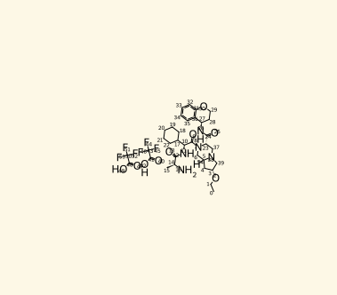 CCO[C@@H]1C[C@@H]2CN(C(=O)[C@@H](NC(=O)[C@H](C)N)C3CCCCC3)[C@H](C(=O)N[C@@H]3CCOc4ccccc43)CN2C1.O=C(O)C(F)(F)F.O=C(O)C(F)(F)F